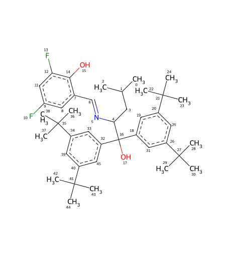 CC(C)CC(N=Cc1cc(F)cc(F)c1O)C(O)(c1cc(C(C)(C)C)cc(C(C)(C)C)c1)c1cc(C(C)(C)C)cc(C(C)(C)C)c1